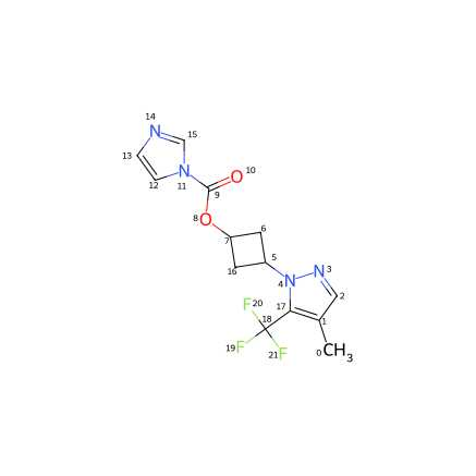 Cc1cnn(C2CC(OC(=O)n3ccnc3)C2)c1C(F)(F)F